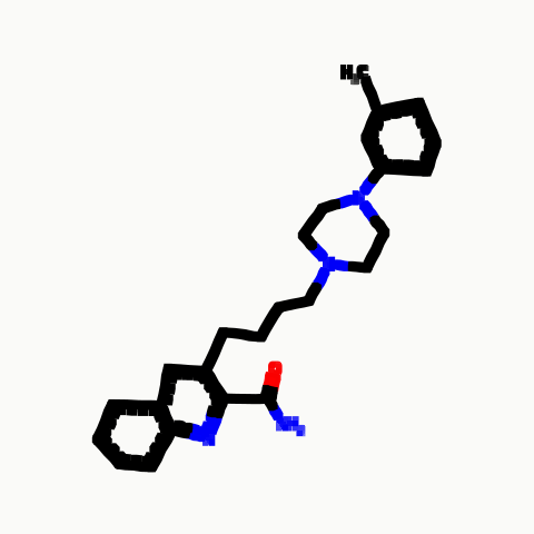 Cc1cccc(N2CCN(CCCCc3cc4ccccc4nc3C(N)=O)CC2)c1